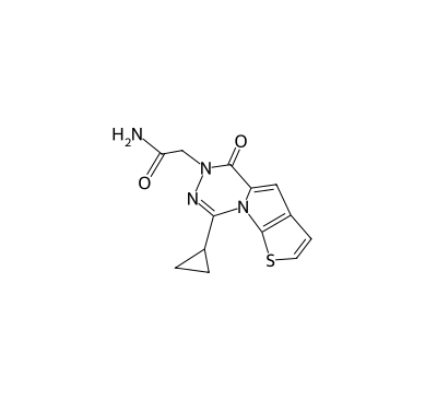 NC(=O)Cn1nc(C2CC2)n2c(cc3ccsc32)c1=O